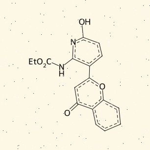 CCOC(=O)Nc1nc(O)ccc1-c1cc(=O)c2ccccc2o1